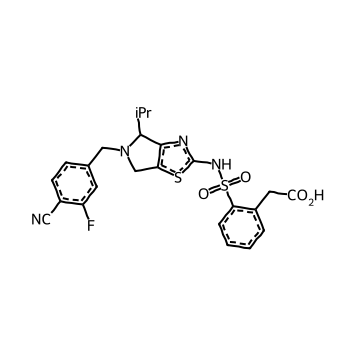 CC(C)C1c2nc(NS(=O)(=O)c3ccccc3CC(=O)O)sc2CN1Cc1ccc(C#N)c(F)c1